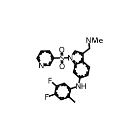 CNCc1cn(S(=O)(=O)c2cccnc2)c2cc(Nc3cc(F)c(F)cc3C)ccc12